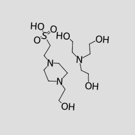 O=S(=O)(O)CCN1CCN(CCO)CC1.OCCN(CCO)CCO